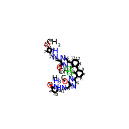 COc1nc(-c2cccc(-c3cccc(-c4cnc(CNC[C@H]5C[C@@H](OC)C5)c(OC)n4)c3Cl)c2Cl)cnc1CNC[C@@H]1CCC(=O)N1